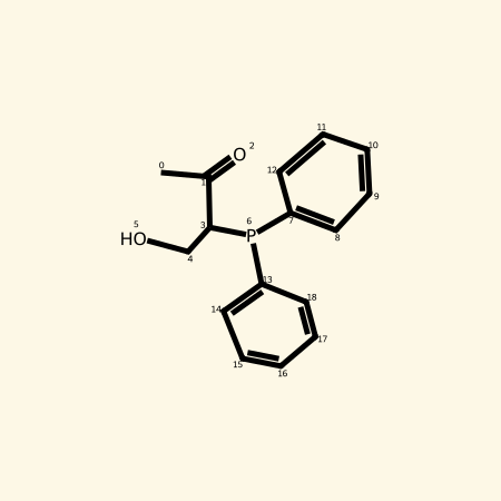 CC(=O)C(CO)P(c1ccccc1)c1ccccc1